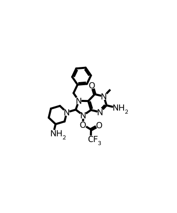 Cn1c(N)nc2c(c1=O)N(Cc1ccccc1)C(N1CCCC(N)C1)N2OC(=O)C(F)(F)F